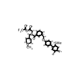 CSc1cc(F)c(F)cc1-c1ccc(OCc2cccc(C(=O)N(CC(=O)OC(=O)C(F)(F)F)CC3CCN(C)CC3)c2)cc1